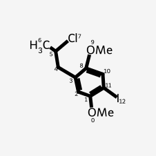 COc1cc(CC(C)Cl)c(OC)cc1I